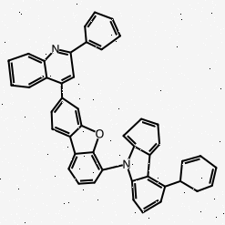 C1=CCC(c2cccc3c2c2ccccc2n3-c2cccc3c2oc2cc(-c4cc(-c5ccccc5)nc5ccccc45)ccc23)C=C1